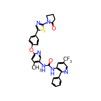 Cc1cc(Oc2ccc(-c3cnc(N4CCCC4=O)s3)cc2)ncc1NC(=O)Nc1cc(C(F)(F)F)cnc1-c1ccccc1